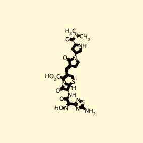 CN(C)C(=O)[C@H]1C[C@H](N2CC/C(=C\C3=C(C(=O)O)N4C(=O)[C@@H](NC(=O)/C(=N\O)c5nsc(N)n5)[C@H]4SC3)C2=O)CN1